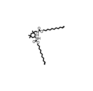 C=CCCCCCCCCCOC(=O)NCC1(C)CC(NC(=O)OCCCCCCCCCC=C)CC(C)(C)C1